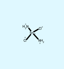 [NH2][Sn]([NH2])([Cl])[Cl]